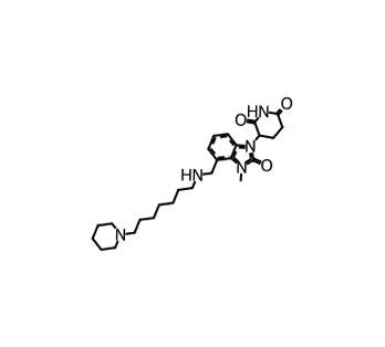 Cn1c(=O)n(C2CCC(=O)NC2=O)c2cccc(CNCCCCCCCN3CCCCC3)c21